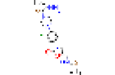 CC(=S)NC[C@H]1CN(c2ccc(N3CCN(C(=S)C(C)N)CC3)c(F)c2)C(=O)O1